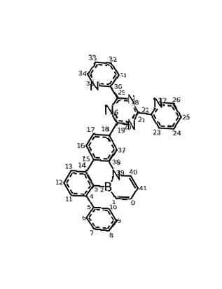 C1=CB2c3c(-c4ccccc4)cccc3-c3ccc(-c4nc(-c5ccccn5)nc(-c5ccccn5)n4)cc3N2C=C1